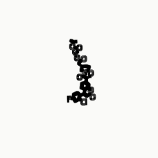 CC(C)OC(=O)OCOC(=O)C[C@H]1CCCN(C(=O)[C@@H](C=O)c2ccc3c(-c4ccc(F)cc4Cl)cc(=O)oc3c2)C1